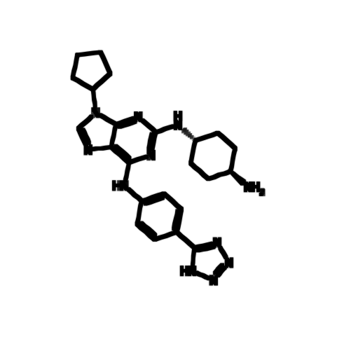 N[C@H]1CC[C@H](Nc2nc(Nc3ccc(-c4nnn[nH]4)cc3)c3ncn(C4CCCC4)c3n2)CC1